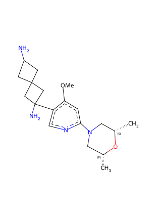 COc1cc(N2C[C@@H](C)O[C@@H](C)C2)ncc1C1(N)CC2(CC(N)C2)C1